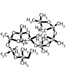 CC[Si](C)(C)O[Si](C)(C)O[Si](C)(C)O[Si](C)(C)O[Si](C)(C)O[Si](C)(C)O[Si](C)(C)O[Si](C)(C)O[Si](C)(C)C